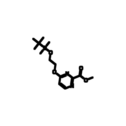 COC(=O)c1nccc(OCCO[Si](C)(C)C(C)(C)C)n1